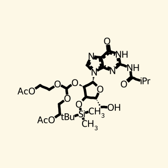 CC(=O)OCCOC(OCCOC(C)=O)O[C@H]1C(O[Si](C)(C)C(C)(C)C)[C@@H](CO)O[C@H]1n1cnc2c(=O)[nH]c(NC(=O)C(C)C)nc21